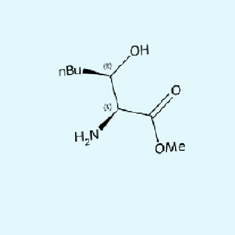 CCCC[C@@H](O)[C@H](N)C(=O)OC